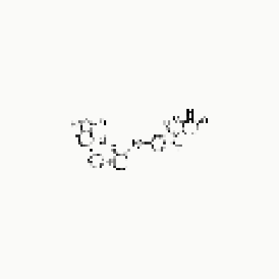 CCc1c[nH]c2ncc(-c3cccc(N4CCCN(CCNc5ccc6c(c5)C(=O)N(C5CCC(=O)NC5=O)C6=O)C4=O)c3)c(Cl)c12